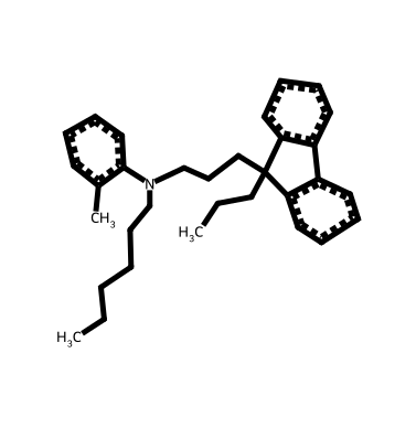 CCCCCCN(CCCC1(CCC)c2ccccc2-c2ccccc21)c1ccccc1C